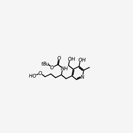 Cc1ncc(CC(CCCOO)NC(=O)OC(C)(C)C)c(CO)c1O